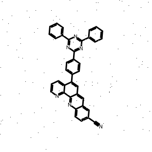 N#Cc1ccc2nc3c(cc(-c4ccc(-c5nc(-c6ccccc6)nc(-c6ccccc6)n5)cc4)c4cccnc43)cc2c1